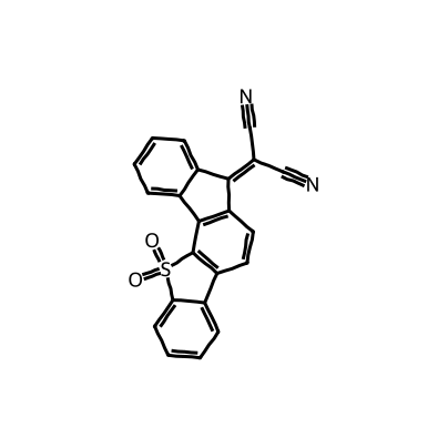 N#CC(C#N)=C1c2ccccc2-c2c1ccc1c2S(=O)(=O)c2ccccc2-1